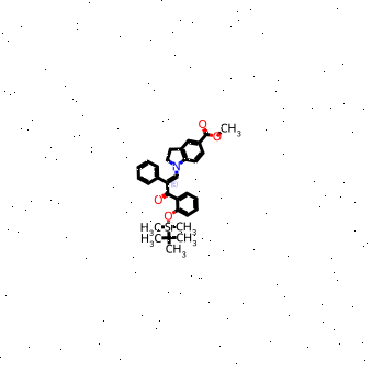 COC(=O)c1ccc2c(c1)CCN2/C=C(/C(=O)c1ccccc1O[Si](C)(C)C(C)(C)C)c1ccccc1